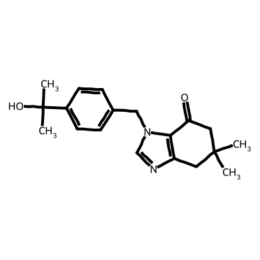 CC1(C)CC(=O)c2c(ncn2Cc2ccc(C(C)(C)O)cc2)C1